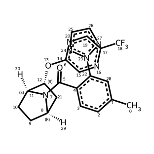 Cc1ccc(C(=O)N2[C@@H]3CC[C@H]2[C@H](Oc2cnc(C(F)(F)F)cn2)C3)c(-n2nccn2)c1